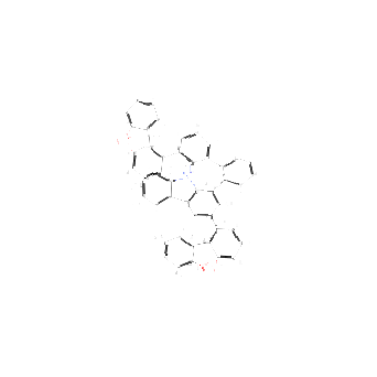 c1ccc2c(c1)-c1cccc(-c3cccc4oc5ccccc5c34)c1-n1c3ccccc3c3cc(-c4cccc5oc6ccccc6c45)cc-2c31